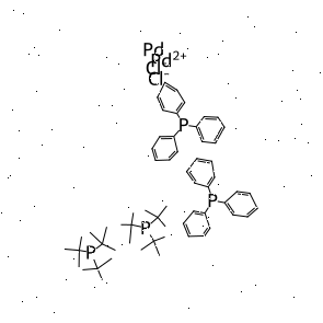 CC(C)(C)P(C(C)(C)C)C(C)(C)C.CC(C)(C)P(C(C)(C)C)C(C)(C)C.[Cl-].[Cl-].[Pd+2].[Pd].c1ccc(P(c2ccccc2)c2ccccc2)cc1.c1ccc(P(c2ccccc2)c2ccccc2)cc1